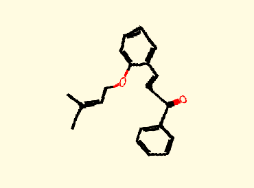 CC(C)=CCOc1ccccc1C=CC(=O)c1ccccc1